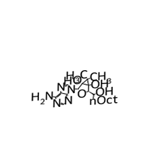 CCCCCCCCC(O)[C@H]1O[C@@H](n2cnc3c(N)ncnc32)[C@]2(O)C(C)(C)[C@]12O